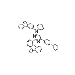 c1ccc(-c2ccc(-c3cc(-n4c5ccccc5c5cc6oc7ccccc7c6cc54)nc(-c4cccc5oc6ccccc6c45)n3)cc2)cc1